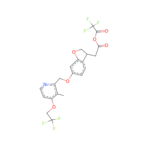 Cc1c(OCC(F)(F)F)ccnc1COc1ccc2c(c1)OCC2CC(=O)OC(=O)C(F)(F)F